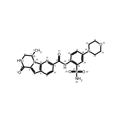 C[C@@H]1CNC(=O)c2cc3ccc(C(=O)Nc4ccc(N5CCOCC5)cc4S(N)(=O)=O)nc3n21